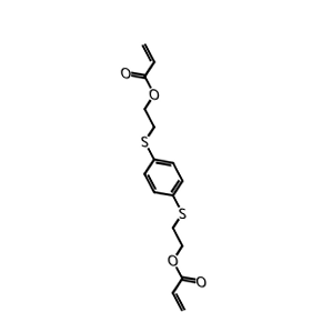 C=CC(=O)OCCSc1ccc(SCCOC(=O)C=C)cc1